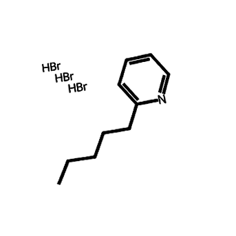 Br.Br.Br.CCCCCc1ccccn1